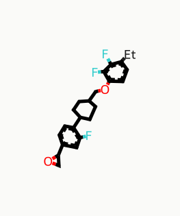 CCc1ccc(OCC2CCC(c3ccc(C4CO4)cc3F)CC2)c(F)c1F